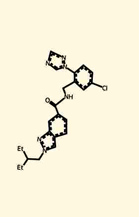 CCC(CC)Cn1cc2ccc(C(=O)NCc3cc(Cl)ccc3-n3cncn3)cc2n1